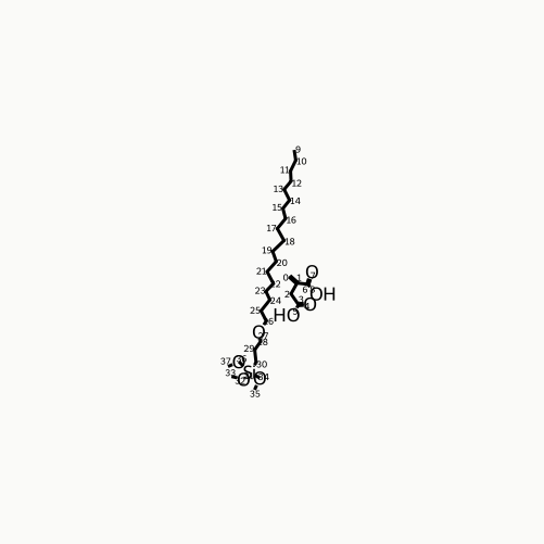 C=C(CC(=O)O)C(=O)O.CCCCCCCCCCCCCCCCCCOCCC[Si](OC)(OC)OC